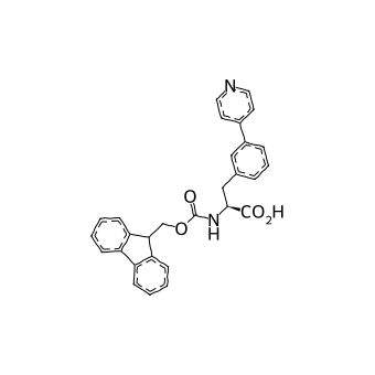 O=C(N[C@@H](Cc1cccc(-c2ccncc2)c1)C(=O)O)OCC1c2ccccc2-c2ccccc21